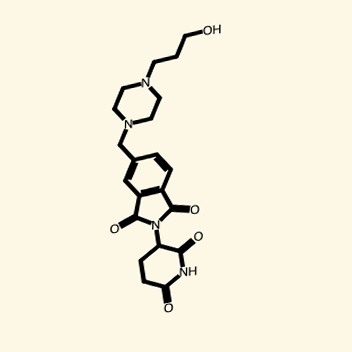 O=C1CCC(N2C(=O)c3ccc(CN4CCN(CCCO)CC4)cc3C2=O)C(=O)N1